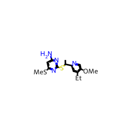 CCc1cc(C(C)Sc2nc(N)cc(SC)n2)ncc1OC